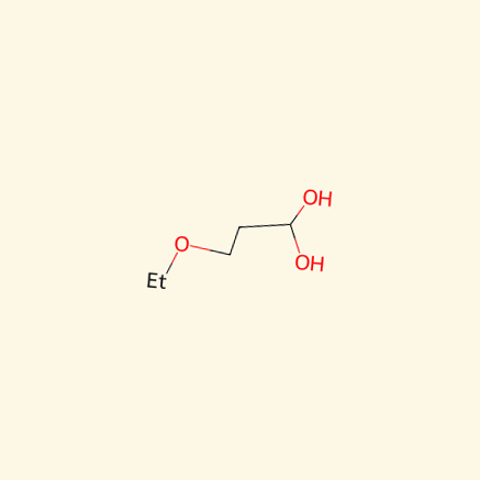 CCOCCC(O)O